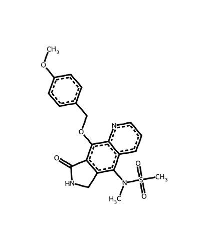 COc1ccc(COc2c3c(c(N(C)S(C)(=O)=O)c4cccnc24)CNC3=O)cc1